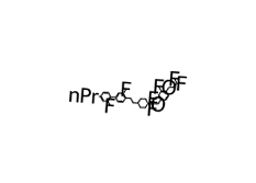 CCCc1ccc(-c2ccc(CCC3CCC(C(F)(F)Oc4ccc(OC=C(F)F)c(F)c4)CC3)c(F)c2)c(F)c1